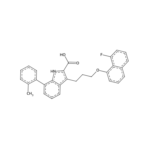 Cc1ccccc1-c1cccc2c(CCCOc3cccc4cccc(F)c34)c(C(=O)O)[nH]c12